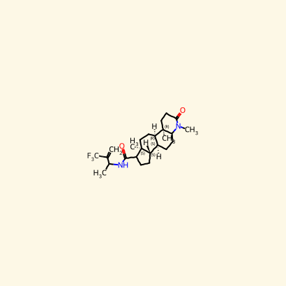 C=C(C(C)NC(=O)C1CC[C@H]2[C@@H]3CCC4N(C)C(=O)CC[C@]4(C)[C@@H]3CC[C@]12C)C(F)(F)F